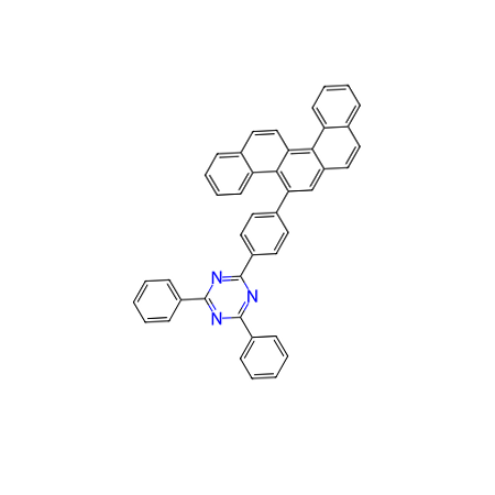 c1ccc(-c2nc(-c3ccccc3)nc(-c3ccc(-c4cc5ccc6ccccc6c5c5ccc6ccccc6c45)cc3)n2)cc1